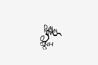 C\C=C(/C=C\C(=C\[N+](=O)[O-])n1cncc1CC1NC(=O)OC1=O)[N+](=O)[O-]